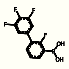 OB(O)c1cccc(-c2cc(F)c(F)c(F)c2)c1F